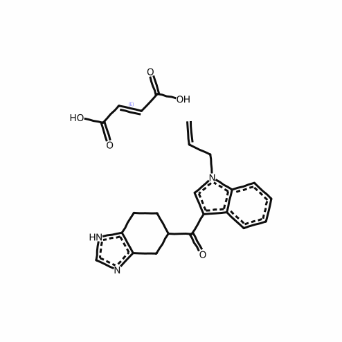 C=CCn1cc(C(=O)C2CCc3[nH]cnc3C2)c2ccccc21.O=C(O)/C=C/C(=O)O